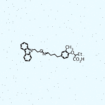 CCC(Oc1ccc(CCCC=NOCCn2c3ccccc3c3ccccc32)cc1C)C(=O)O